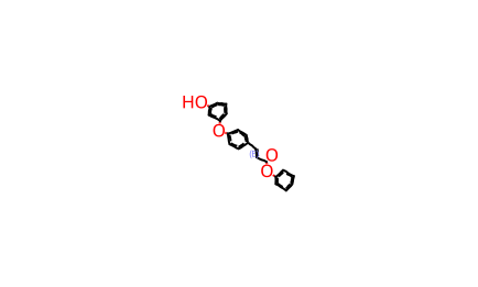 O=C(/C=C/c1ccc(Oc2cccc(O)c2)cc1)Oc1ccccc1